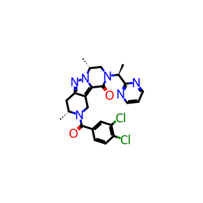 C[C@@H]1Cc2nn3c(c2CN1C(=O)c1ccc(Cl)c(Cl)c1)C(=O)N([C@@H](C)c1ncccn1)C[C@H]3C